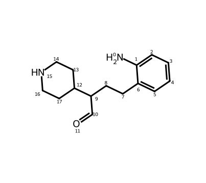 Nc1ccccc1CCC(C=O)C1CCNCC1